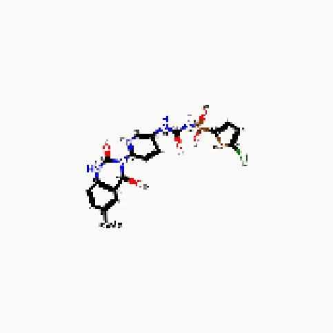 CSc1ccc2[nH]c(=O)n(-c3ccc(NC(=O)NS(=O)(=O)c4ccc(Cl)s4)cn3)c(=O)c2c1